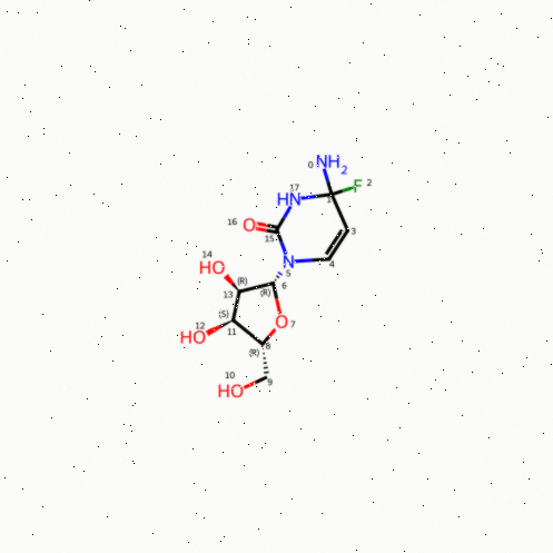 NC1(F)C=CN([C@@H]2O[C@H](CO)[C@@H](O)[C@H]2O)C(=O)N1